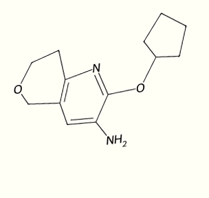 Nc1cc2c(nc1OC1CCCC1)CCOC2